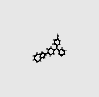 Clc1ccc(C(c2ccccc2)N2CCN(c3nc4cccccc-4n3)CC2)cc1